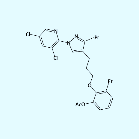 CCc1cccc(OC(C)=O)c1OCCCc1cn(-c2ncc(Cl)cc2Cl)nc1C(C)C